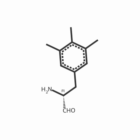 Cc1cc(C[C@@H](N)C=O)cc(C)c1C